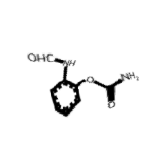 NC(=O)Oc1ccccc1NC=O